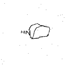 C1C[C]2CCNC(C1)CC2